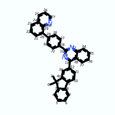 CC1(C)c2ccccc2-c2ccc(-c3nc(-c4ccc(-c5cccc6cccnc56)cc4)nc4ccccc34)cc21